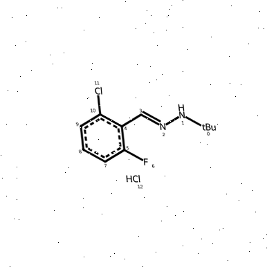 CC(C)(C)NN=Cc1c(F)cccc1Cl.Cl